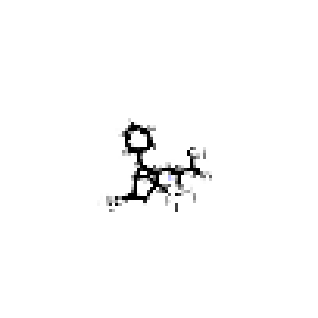 C=C1CC2(C)CC1C(c1ccccc1)=C2/C=C(\C)C(=O)O